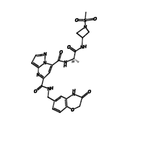 C[C@H](NC(=O)c1cc(C(=O)NCc2ccc3c(c2)NC(=O)CO3)nc2ccnn12)C(=O)NC1CN(S(C)(=O)=O)C1